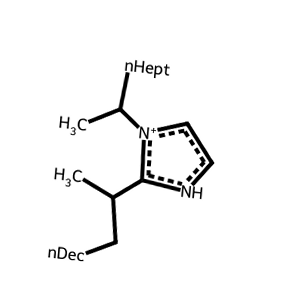 CCCCCCCCCCCC(C)c1[nH]cc[n+]1C(C)CCCCCCC